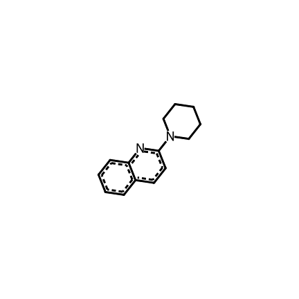 c1ccc2nc(N3CCCCC3)ccc2c1